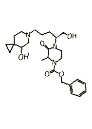 CC1C(=O)N([C@H](CO)CCCN2CCC3(CC3)C(O)C2)CCN1C(=O)OCc1ccccc1